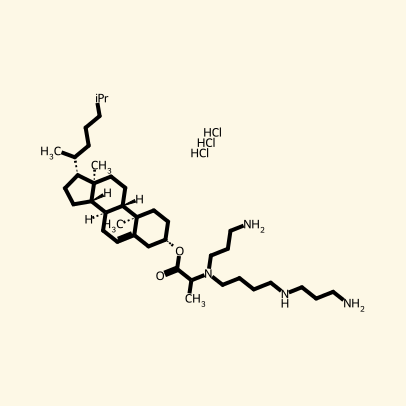 CC(C)CCCC(C)[C@H]1CC[C@H]2[C@@H]3CC=C4C[C@@H](OC(=O)C(C)N(CCCN)CCCCNCCCN)CC[C@]4(C)[C@H]3CC[C@]12C.Cl.Cl.Cl